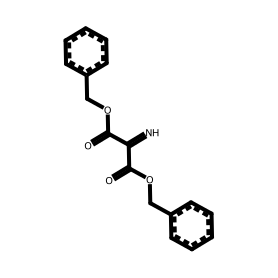 N=C(C(=O)OCc1ccccc1)C(=O)OCc1ccccc1